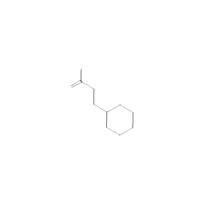 O=C(O)C[C@@H](O)C1CCCCC1